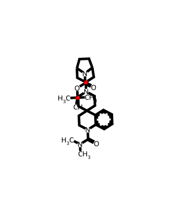 CN(C)C(=O)N1CCC2(CCN(C3CC4CCC(C3)N4C(=O)OC(C)(C)C)CC2)c2ccccc21